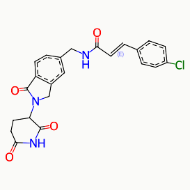 O=C(/C=C/c1ccc(Cl)cc1)NCc1ccc2c(c1)CN(C1CCC(=O)NC1=O)C2=O